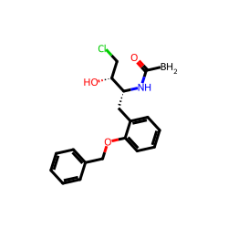 BC(=O)N[C@H](Cc1ccccc1OCc1ccccc1)[C@H](O)CCl